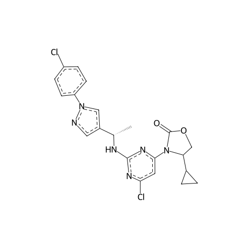 C[C@H](Nc1nc(Cl)cc(N2C(=O)OCC2C2CC2)n1)c1cnn(-c2ccc(Cl)cc2)c1